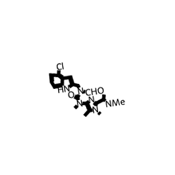 CNC(C)c1nc(N(C)C(=O)N(C=O)Cc2cc3c(Cl)cccc3[nH]2)c(C)n1C